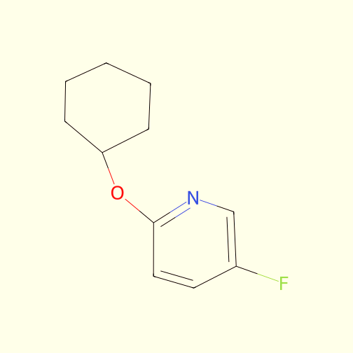 Fc1ccc(OC2CCCCC2)nc1